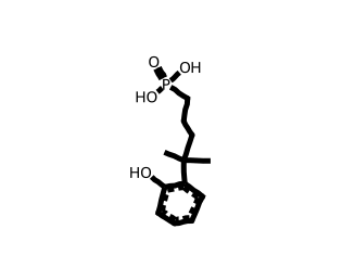 CC(C)(CCCP(=O)(O)O)c1ccccc1O